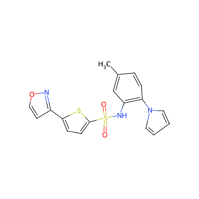 Cc1ccc(-n2cccc2)c(NS(=O)(=O)c2ccc(-c3ccon3)s2)c1